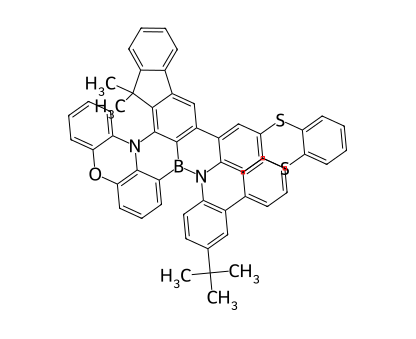 CC(C)(C)c1ccc(N2B3c4cccc5c4N(c4ccccc4O5)c4c3c(cc3c4C(C)(C)c4ccccc4-3)-c3cc4c(cc32)Sc2ccccc2S4)c(-c2ccccc2)c1